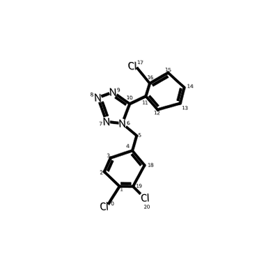 Clc1ccc(Cn2nnnc2-c2ccccc2Cl)cc1Cl